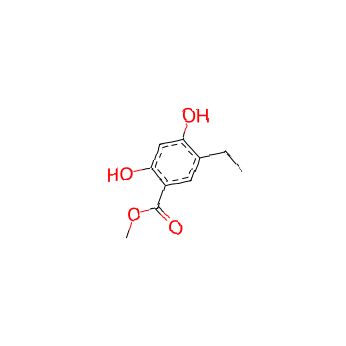 CCc1cc(C(=O)OC)c(O)cc1O